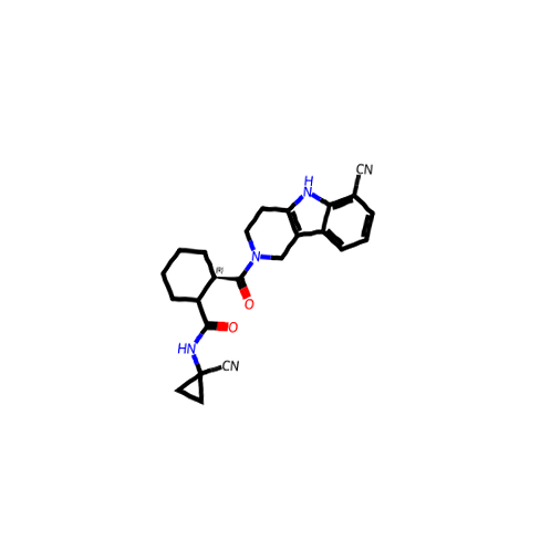 N#Cc1cccc2c3c([nH]c12)CCN(C(=O)[C@@H]1CCCCC1C(=O)NC1(C#N)CC1)C3